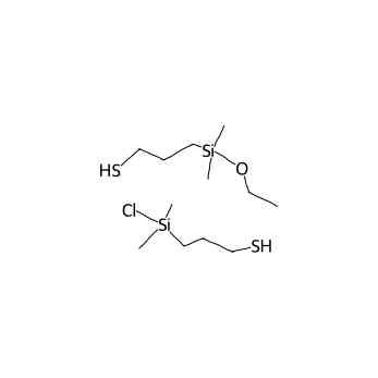 CCO[Si](C)(C)CCCS.C[Si](C)(Cl)CCCS